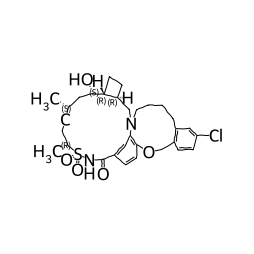 C[C@H]1CC[C@@H](C)S(=O)(=O)NC(=O)c2ccc3c(c2)N(CCCCc2cc(Cl)ccc2CO3)C[C@@H]2CC[C@H]2[C@@H](O)C1